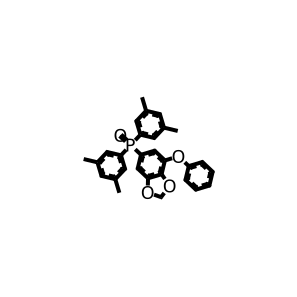 Cc1cc(C)cc(P(=O)(c2cc(C)cc(C)c2)c2cc3c(c(Oc4ccccc4)c2)OCO3)c1